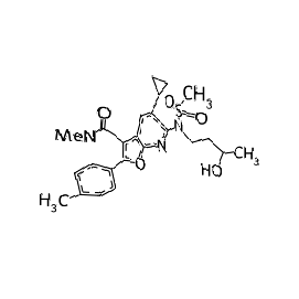 CNC(=O)c1c(-c2ccc(C)cc2)oc2nc(N(CCC(C)O)S(C)(=O)=O)c(C3CC3)cc12